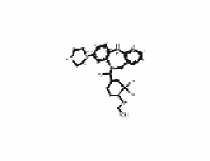 CCOC1CCC(C(=O)N2Cc3cccnc3Nc3ccc(N4CCOCC4)cc32)CC1(F)F